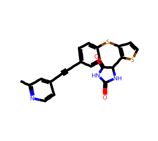 Cc1cc(C#Cc2ccc(Sc3ccsc3C3NC(=O)NC3=O)cc2)ccn1